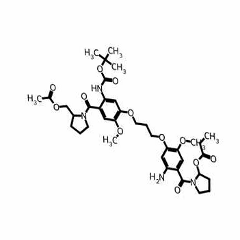 CCC(=O)OC1CCCN1C(=O)c1cc(OC)c(OCCCOc2cc(NC(=O)OC(C)(C)C)c(C(=O)N3CCCC3COC(C)=O)cc2OC)cc1N